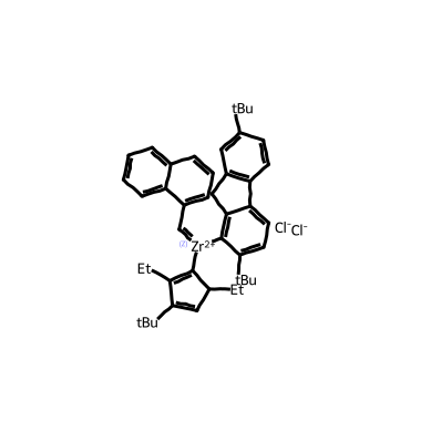 CCC1=[C](/[Zr+2](=[CH]/c2cccc3ccccc23)[c]2c(C(C)(C)C)ccc3c2Cc2cc(C(C)(C)C)ccc2-3)C(CC)C=C1C(C)(C)C.[Cl-].[Cl-]